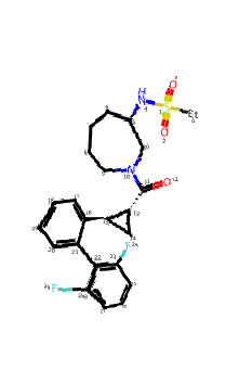 CCS(=O)(=O)N[C@@H]1CCCCN(C(=O)[C@@H]2C[C@H]2c2ccccc2-c2c(F)cccc2F)C1